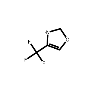 FC(F)(F)C1=COC[N]1